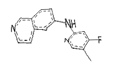 Cc1cnc(Nc2ccc3cnccc3c2)cc1F